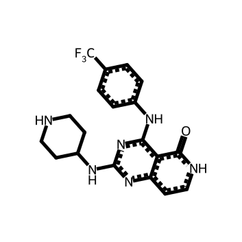 O=c1[nH]ccc2nc(NC3CCNCC3)nc(Nc3ccc(C(F)(F)F)cc3)c12